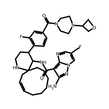 Nc1nn2cc(F)cnc2c1C(=O)NC1C(c2ccc(C(=O)N3CCN(C4COC4)CC3)cc2F)CCNC12C/C=C\CCCCCC2